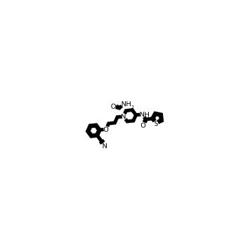 N#Cc1ccccc1OCCCN1CCC(NC(=O)c2cccs2)CC1.NC=O